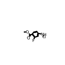 COC(=O)c1ccc(NCl)cc1F